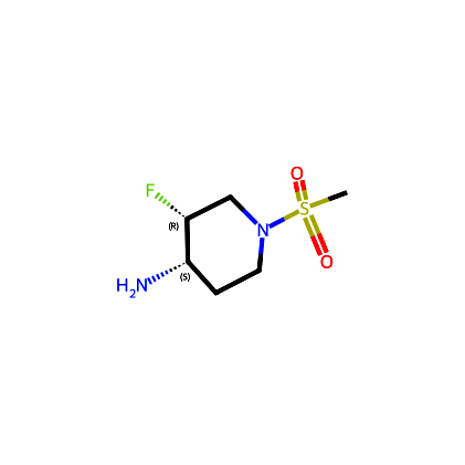 CS(=O)(=O)N1CC[C@H](N)[C@H](F)C1